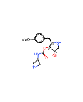 COc1ccc(C[C@H]2NC[C@H](O)[C@H]2OC(=O)NC2CNC2)cc1